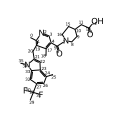 Cc1ncc(C(=O)N2CCC(CC(=O)O)CC2)c(C)c1Cc1cc2c(C)cc(C(C)(F)F)cc2n1C